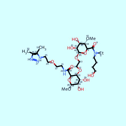 CCN(CCCCO)C(=O)C1O[C@@H](OCCO[C@@H]2C(C(=O)NCCOCCn3nnc(C)c3C)O[C@@H](OC)[C@@H](O)[C@H]2O)[C@@H](O)[C@@H](O)[C@@H]1OC